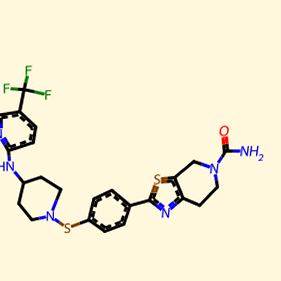 NC(=O)N1CCc2nc(-c3ccc(SN4CCC(Nc5ccc(C(F)(F)F)cn5)CC4)cc3)sc2C1